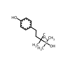 CC(C)(CCc1ccc(O)cc1)[Si](C)(C)O